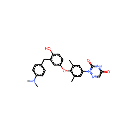 Cc1cc(-n2ncc(=O)[nH]c2=O)cc(C)c1Oc1ccc(O)c(Cc2ccc(N(C)C)cc2)c1